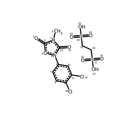 Cn1c(=O)on(-c2ccc(Cl)c(Cl)c2)c1=O.O=S(=O)(O)CCS(=O)(=O)O